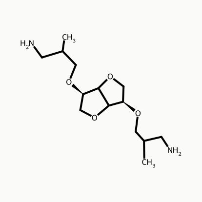 CC(CN)CO[C@@H]1COC2C1OC[C@H]2OCC(C)CN